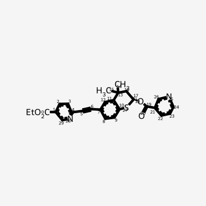 CCOC(=O)c1ccc(C#Cc2ccc3c(c2)C(C)(C)C[C@@H](OC(=O)c2cccnc2)S3)nc1